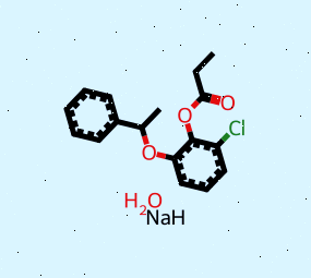 CCC(=O)Oc1c(Cl)cccc1OC(C)c1ccccc1.O.[NaH]